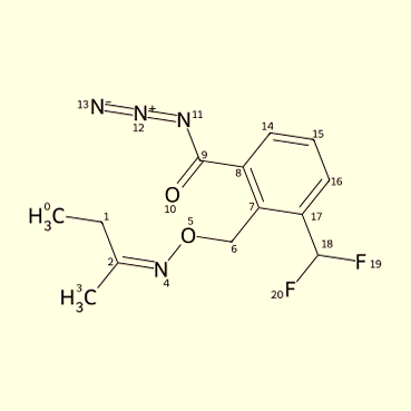 CCC(C)=NOCc1c(C(=O)N=[N+]=[N-])cccc1C(F)F